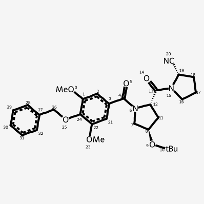 COc1cc(C(=O)N2C[C@H](OC(C)(C)C)C[C@H]2C(=O)N2CCC[C@H]2C#N)cc(OC)c1OCc1ccccc1